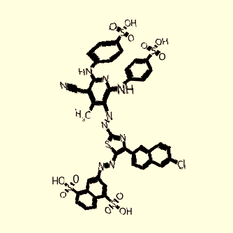 Cc1c(C#N)c(Nc2ccc(S(=O)(=O)O)cc2)nc(Nc2ccc(S(=O)(=O)O)cc2)c1N=Nc1nc(-c2ccc3cc(Cl)ccc3c2)c(N=Nc2cc(S(=O)(=O)O)c3cccc(S(=O)(=O)O)c3c2)s1